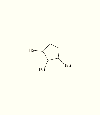 CC(C)(C)C1CCC(S)C1C(C)(C)C